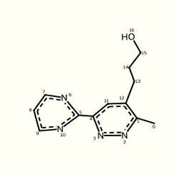 Cc1nnc(-c2ncccn2)cc1CCCO